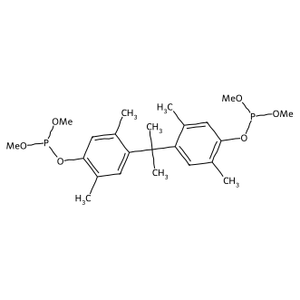 COP(OC)Oc1cc(C)c(C(C)(C)c2cc(C)c(OP(OC)OC)cc2C)cc1C